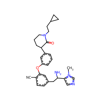 Cn1cncc1C(N)Cc1ccc(C#N)c(Oc2cccc(C3CCCN(CCC4CC4)C3=O)c2)c1